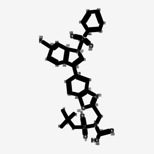 CC(C)(C)CS(=O)(=O)N(Cc1nc2cc(-c3cn(S(=O)(=O)c4ccccc4)c4cc(F)ccc34)ccc2o1)C(=O)O